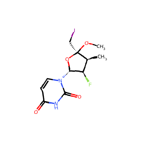 CO[C@]1(CI)O[C@@H](n2ccc(=O)[nH]c2=O)[C@H](F)[C@@H]1C